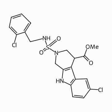 COC(=O)C1CN(S(=O)(=O)NCc2ccccc2Cl)Cc2[nH]c3ccc(Cl)cc3c21